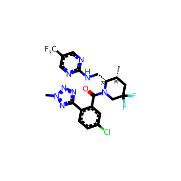 C[C@@H]1CC(F)(F)CN(C(=O)c2cc(Cl)ccc2-c2nnn(C)n2)[C@@H]1CNc1ncc(C(F)(F)F)cn1